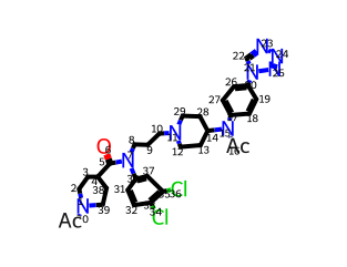 CC(=O)N1CCC(C(=O)N(CCCN2CCC(N(C(C)=O)c3ccc(-n4cnnn4)cc3)CC2)c2ccc(Cl)c(Cl)c2)CC1